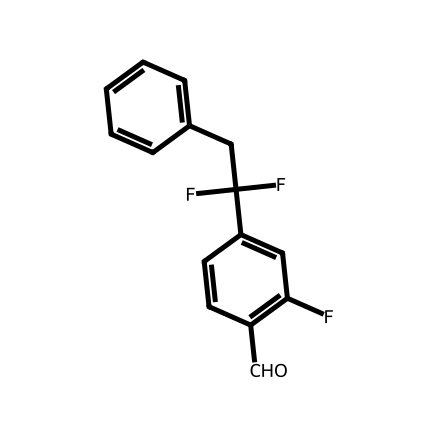 O=Cc1ccc(C(F)(F)Cc2ccccc2)cc1F